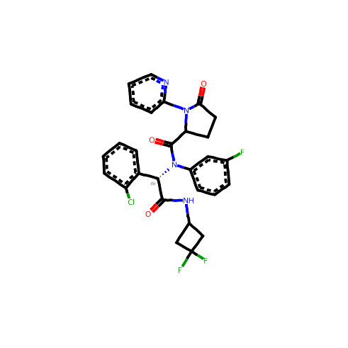 O=C(NC1CC(F)(F)C1)[C@H](c1ccccc1Cl)N(C(=O)C1CCC(=O)N1c1ccccn1)c1cccc(F)c1